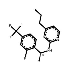 C[CH]Cc1ccnc(N[C@@H](C)c2ccc(C(F)(F)F)cc2F)n1